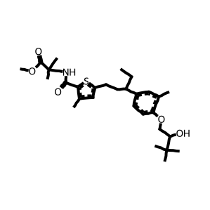 CCC(CCc1cc(C)c(C(=O)NC(C)(C)C(=O)OC)s1)c1ccc(OCC(O)C(C)(C)C)c(C)c1